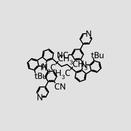 CC(C)(C)c1cccc2c3cccc(C(C)(C)CCC(C)(C)c4cccc5c6cccc(C(C)(C)C)c6n(-c6ccc(C#N)c(-c7ccncc7)c6)c45)c3n(-c3cc(C#N)cc(-c4ccncc4)c3)c12